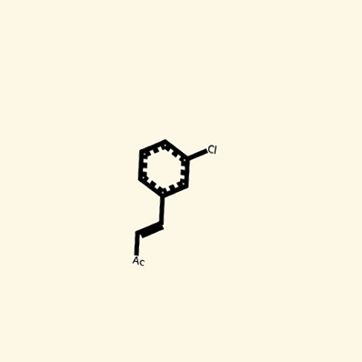 CC(=O)/C=C/c1cccc(Cl)c1